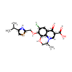 CC(C)c1csc(COc2c(F)cc3c(=O)c(C(=O)O)cn4c3c2OC[C@@H]4C)n1